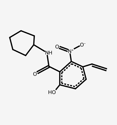 C=Cc1ccc(O)c(C(=O)NC2CCCCC2)c1[N+](=O)[O-]